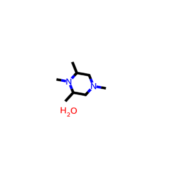 CC1CN(C)CC(C)N1C.O